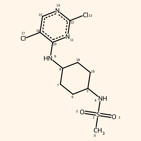 CS(=O)(=O)NC1CCC(Nc2nc(Cl)ncc2Cl)CC1